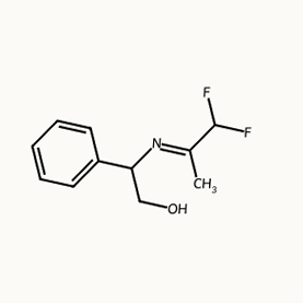 CC(=NC(CO)c1ccccc1)C(F)F